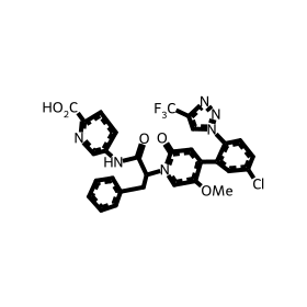 COc1cn(C(Cc2ccccc2)C(=O)Nc2ccc(C(=O)O)nc2)c(=O)cc1-c1cc(Cl)ccc1-n1cc(C(F)(F)F)nn1